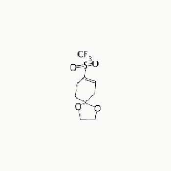 O=S(=O)(C1=CCC2(CC1)OCCO2)C(F)(F)F